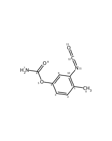 Cc1ccc(OC(N)=O)cc1N=C=O